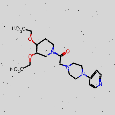 O=C(O)COC1CCN(C(=O)CN2CCN(c3ccncc3)CC2)CC1OCC(=O)O